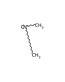 CCCCCCCCCCCCCCC[N+]1(CCCCCC)CCCC1